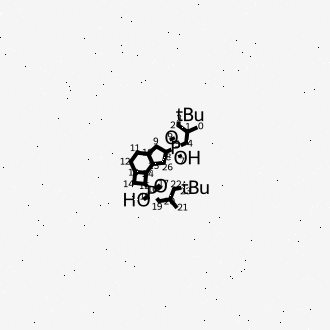 CC(CC(C)(C)C)CP(=O)(O)C1CC2CCC3CC(P(=O)(O)CC(C)CC(C)(C)C)C3C2C1